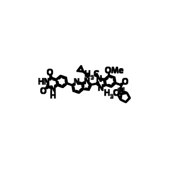 COc1cc(C(=O)N2CC3CCC2[C@@H]3C)cc2nc(-c3cc4ccc(-c5ccc6c(=O)[nH]c(=O)[nH]c6c5)nc4n3CC3CC3)n(C)c12